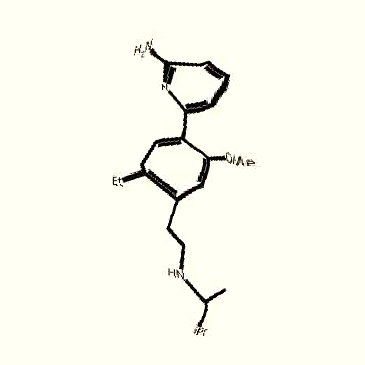 CCc1cc(-c2cccc(N)n2)c(OC)cc1CCNC(C)C(C)C